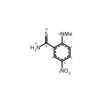 CNc1ccc([N+](=O)[O-])cc1C(N)=S